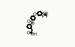 O=C(O)Cc1cccc(S(=O)(=O)c2ccc(Oc3ccc(OC(F)(F)F)cc3)cc2)c1